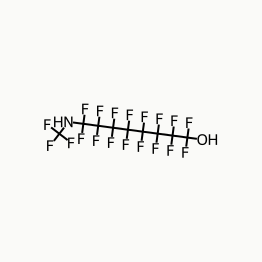 OC(F)(F)C(F)(F)C(F)(F)C(F)(F)C(F)(F)C(F)(F)C(F)(F)C(F)(F)NC(F)(F)F